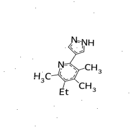 CCc1c(C)nc(-c2cn[nH]c2)c(C)c1C